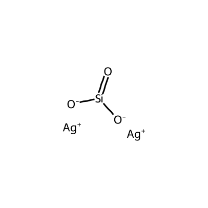 O=[Si]([O-])[O-].[Ag+].[Ag+]